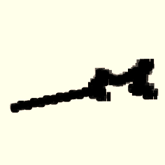 COCCOCCOCCOCCOCCOCCOCCOCCOCCOCCOCCOCCC(=O)N[C@@H](CC(=O)O)C(=O)NCN1C(=O)CCN(c2cc(C#CCNC3(C)CCN(C4CCN(c5nc([C@@](COCC(NC(=O)[C@@H](N)CC(=O)O)C(N)=O)(OC6CC6)c6ccccc6)c6cc(-c7cn(C)c(=O)c8[nH]ccc78)ccc6n5)CC4)CC3)ccc2OC)C1=O